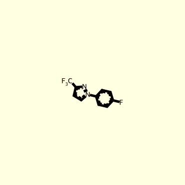 Fc1ccc(-n2ccc(C(F)(F)F)n2)cc1